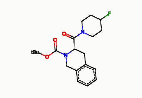 CC(C)(C)OC(=O)N1Cc2ccccc2C[C@H]1C(=O)N1CCC(F)CC1